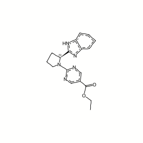 CCOC(=O)c1cnc(N2CCC[C@H]2c2nc3ccccc3[nH]2)nc1